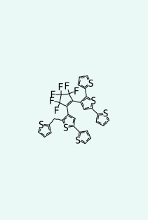 FC1(F)C(c2cc(-c3cccs3)sc2Cc2cccs2)=C(c2cc(-c3cccs3)sc2-c2cccs2)C(F)(F)C1(F)F